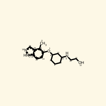 Cc1c(OC2CCCC(NCCO)C2)ccc2[nH]ncc12